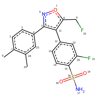 Cc1ccc(-c2noc(CF)c2-c2ccc(S(N)(=O)=O)c(F)c2)cc1C